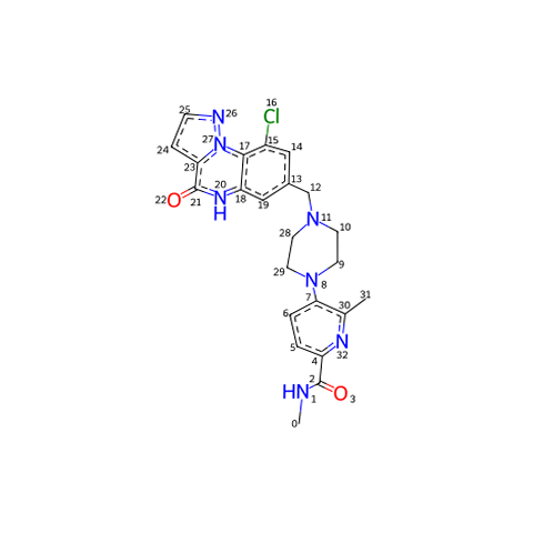 CNC(=O)c1ccc(N2CCN(Cc3cc(Cl)c4c(c3)[nH]c(=O)c3ccnn34)CC2)c(C)n1